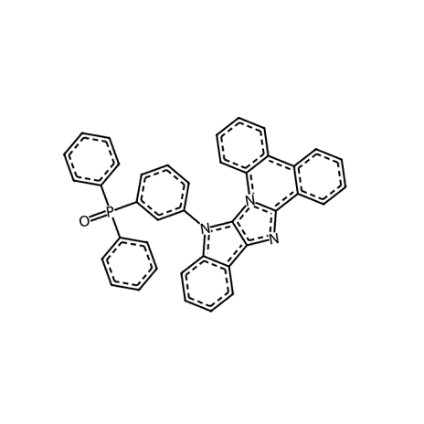 O=P(c1ccccc1)(c1ccccc1)c1cccc(-n2c3ccccc3c3nc4c5ccccc5c5ccccc5n4c32)c1